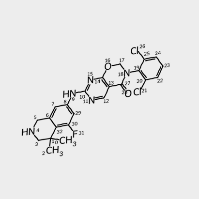 CC1(C)CNCc2cc(Nc3ncc4c(n3)OCN(c3c(Cl)cccc3Cl)C4=O)cc(F)c21